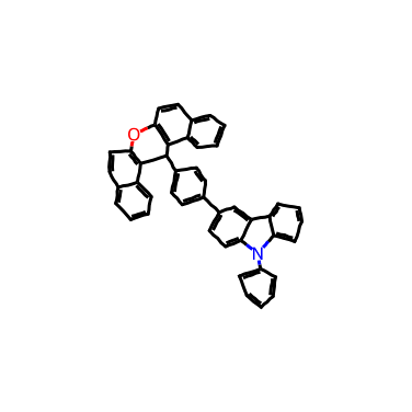 c1ccc(-n2c3ccccc3c3cc(-c4ccc(C5c6c(ccc7ccccc67)Oc6ccc7ccccc7c65)cc4)ccc32)cc1